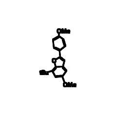 COc1ccc(-c2cc3cc(OC)cc(C(C)(C)C)c3o2)cc1